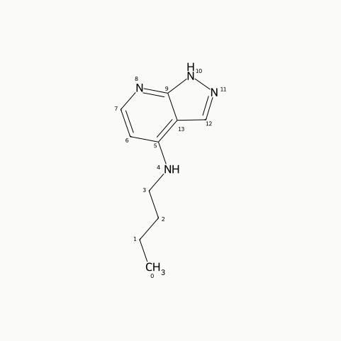 CCCCNc1ccnc2[nH]ncc12